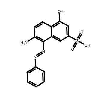 Nc1ccc2c(O)cc(S(=O)(=O)O)cc2c1N=Nc1ccccc1